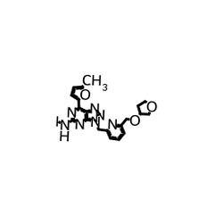 Cc1ccc(-c2nc(NI)nc3c2nnn3Cc2cccc(COC3CCOC3)n2)o1